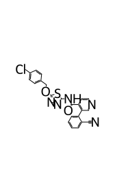 N#Cc1ccccc1-c1cnccc1C(=O)Nc1nnc(OCc2ccc(Cl)cc2)s1